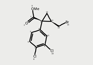 COC(=O)[C@@]1(c2ccc(Cl)c(Cl)c2)C[C@H]1CBr